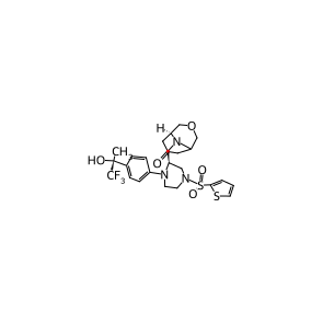 C[C@@](O)(c1ccc(N2CCN(S(=O)(=O)c3cccs3)C[C@@H]2CN2C3COC[C@@H]2CC(=O)C3)cc1)C(F)(F)F